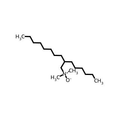 CCCCCCCCC(CCCCCC)C[N+](C)(C)[O-]